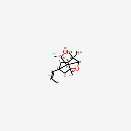 C/C=C\C12CC3[C@H](C)C(OC3(C)C1)C2[C@H](C)O